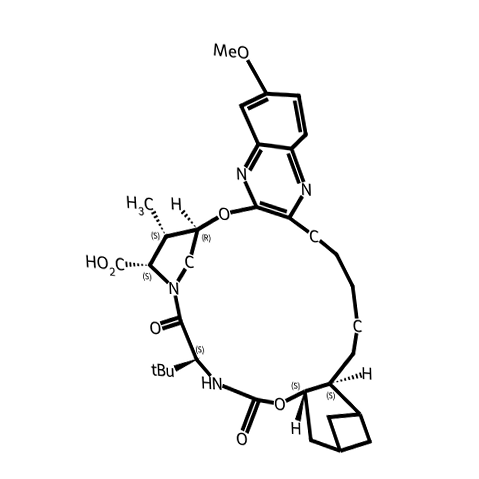 COc1ccc2nc3c(nc2c1)O[C@H]1CN(C(=O)[C@H](C(C)(C)C)NC(=O)O[C@H]2CC4CC(C4)[C@@H]2CCCCC3)[C@H](C(=O)O)[C@@H]1C